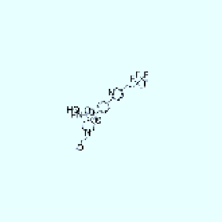 COCCN1CCC(C(=O)NO)(S(=O)(=O)c2ccc(-c3ccc(CCC(F)(F)C(F)(F)F)cn3)cc2)CC1